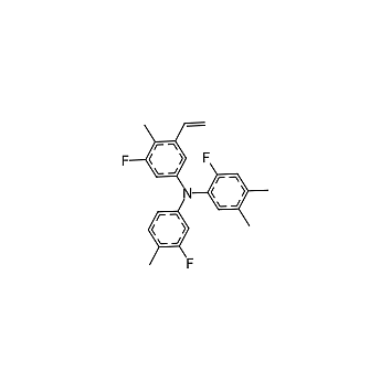 C=Cc1cc(N(c2ccc(C)c(F)c2)c2cc(C)c(C)cc2F)cc(F)c1C